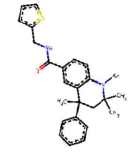 CC(=O)N1c2ccc(C(=O)NCc3cccs3)cc2C(C)(c2ccccc2)CC1(C)C